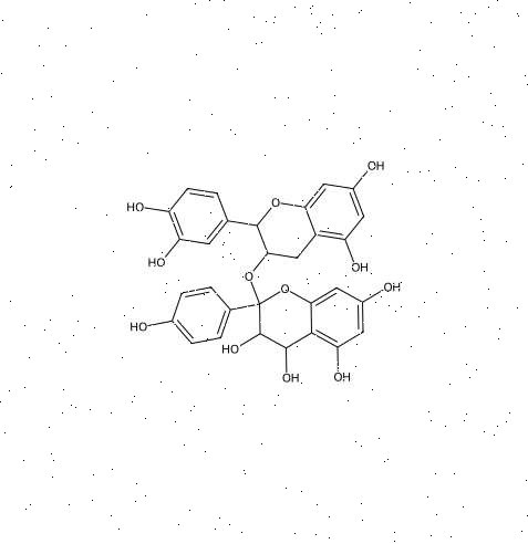 Oc1ccc(C2(OC3Cc4c(O)cc(O)cc4OC3c3ccc(O)c(O)c3)Oc3cc(O)cc(O)c3C(O)C2O)cc1